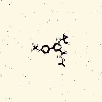 CC(C)ONC(=O)c1cc(-c2ccc(OC(F)(F)F)cc2)cc(NC2(C=O)CC2)n1